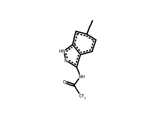 Cc1ccc2c(NC(=O)C(F)(F)F)n[nH]c2c1